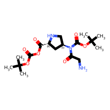 CC(C)(C)OC(=O)OC(=O)[C@H]1C[C@H](N(C(=O)CN)C(=O)OC(C)(C)C)CN1